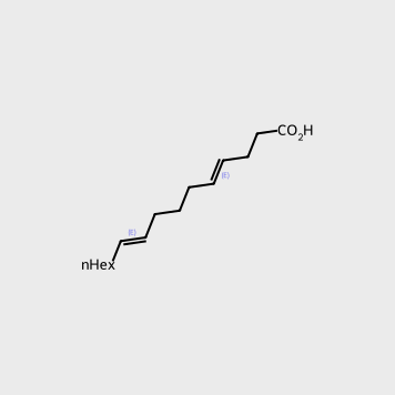 CCCCCC/C=C/CCC/C=C/CCC(=O)O